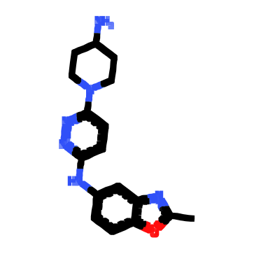 Cc1nc2cc(Nc3ccc(N4CCC(N)CC4)nn3)ccc2o1